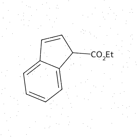 CCOC(=O)C1C=Cc2ccccc21